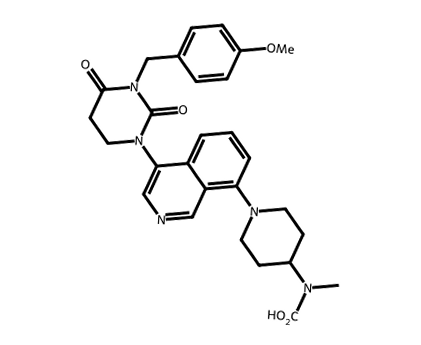 COc1ccc(CN2C(=O)CCN(c3cncc4c(N5CCC(N(C)C(=O)O)CC5)cccc34)C2=O)cc1